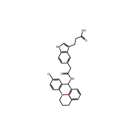 O=C(O)CCc1c[nH]c2ccc(CC(=O)NC(c3ccccc3)c3cc(Cl)ccc3N3CCCCC3)cc12